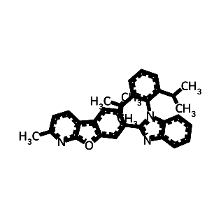 Cc1ccc2c(n1)oc1cc(-c3nc4ccccc4n3-c3c(C(C)C)cccc3C(C)C)c(C)cc12